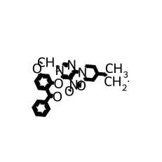 [CH2]C(C)C1CCN(c2ncnc(Oc3cc(OC)ccc3C(=O)c3ccccc3)c2[N+](=O)[O-])CC1